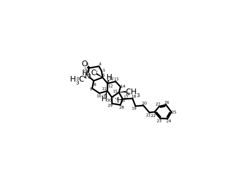 CN1C(=O)CC[C@@]2(C)C1CC[C@@H]1[C@H]2CC[C@]2(C)C(CCCCc3ccccc3)CC[C@@H]12